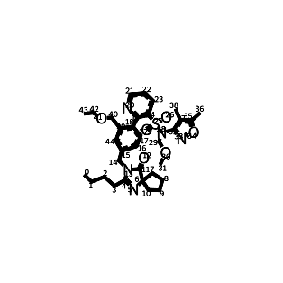 CCCCC1=NC2(CCCC2)C(=O)N1Cc1ccc(-c2ncccc2S(=O)(=O)N(COC)c2noc(C)c2C)c(COCC)c1